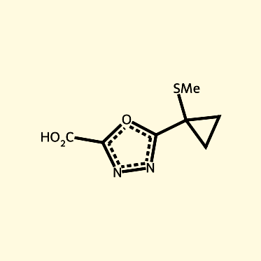 CSC1(c2nnc(C(=O)O)o2)CC1